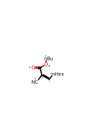 CCCCCCC=C(C#N)C(=O)OCCCC